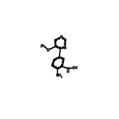 CC(C)Oc1cncnc1-c1ccc(N)c(NO)c1